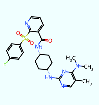 Cc1cnc(N[C@H]2CC[C@@H](NC(=O)c3cccnc3S(=O)(=O)c3ccc(F)cc3)CC2)nc1N(C)C